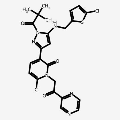 CC(C)(C)C(=O)n1nc(-c2ccc(Cl)n(CC(=O)c3cnccn3)c2=O)cc1NCc1ccc(Cl)s1